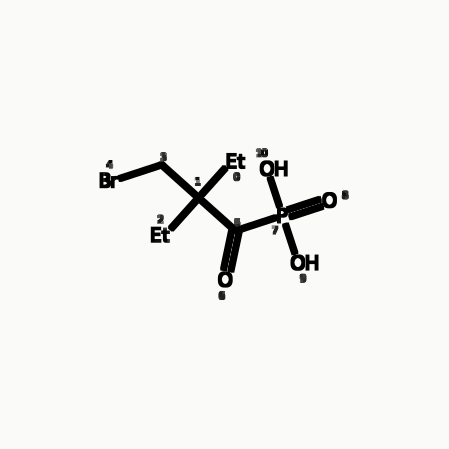 CCC(CC)(CBr)C(=O)P(=O)(O)O